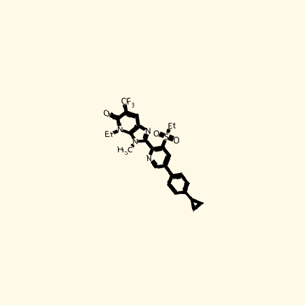 CCn1c(=O)c(C(F)(F)F)cc2nc(-c3ncc(-c4ccc(C5CC5)cc4)cc3S(=O)(=O)CC)n(C)c21